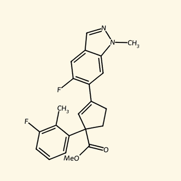 COC(=O)C1(c2cccc(F)c2C)C=C(c2cc3c(cnn3C)cc2F)CC1